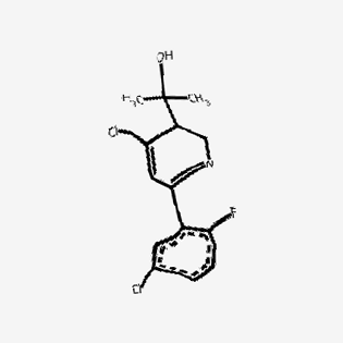 CC(C)(O)C1CN=C(c2cc(Cl)ccc2F)C=C1Cl